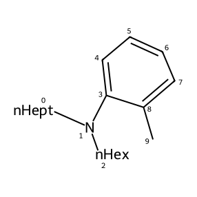 CCCCCCCN(CCCCCC)c1ccccc1C